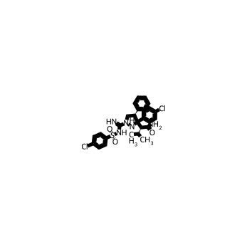 CC(C)[C@@H](C(N)=O)C1(c2ccc(Cl)cc2)NN(C(=N)NS(=O)(=O)c2ccc(Cl)cc2)C[C@@H]1c1ccccc1